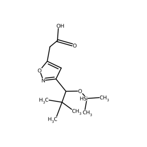 C[SiH](C)OC(c1cc(CC(=O)O)on1)C(C)(C)C